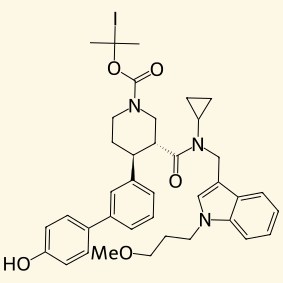 COCCCn1cc(CN(C(=O)[C@H]2CN(C(=O)OC(C)(C)I)CC[C@@H]2c2cccc(-c3ccc(O)cc3)c2)C2CC2)c2ccccc21